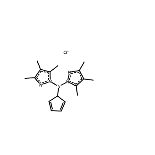 Cc1n[n]([Ti+]([CH]2C=CC=C2)[n]2nc(C)c(C)c2C)c(C)c1C.[Cl-]